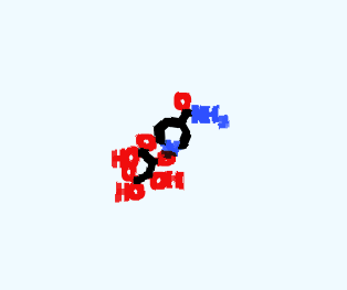 NC(=O)C1=CC=CN(OC(C(=O)O)C(O)C(=O)O)C=C1